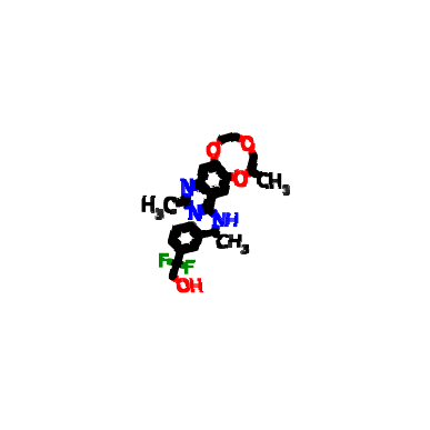 Cc1nc(NC(C)c2cccc(C(F)(F)CO)c2)c2cc3c(cc2n1)OCCOCC(C)O3